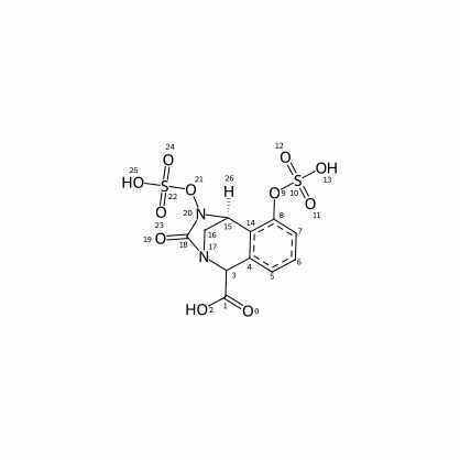 O=C(O)C1c2cccc(OS(=O)(=O)O)c2[C@H]2CN1C(=O)N2OS(=O)(=O)O